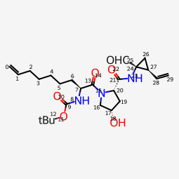 C=CCCCCC[C@H](NC(=O)OC(C)(C)C)C(=O)N1C[C@@H](O)C[C@H]1C(=O)N[C@]1(C=O)C[C@H]1C=C